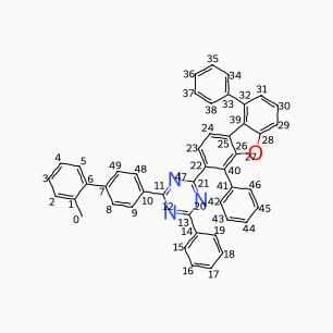 Cc1ccccc1-c1ccc(-c2nc(-c3ccccc3)nc(-c3ccc4c(oc5cccc(-c6ccccc6)c54)c3-c3ccccc3)n2)cc1